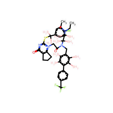 Bc1c(B)c(-c2ccc(C(F)(F)F)cc2)c(B)c(B)c1CN(C(=O)Cn1c(SC(B)(B)c2ccc(F)cc2)nc(=O)c2c1CCC2)C(B)(B)C(B)(B)N(CC)CC